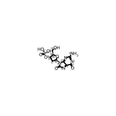 NC1=NC(=O)C2=NC(=O)N([C@H]3C[C@H](OP(=O)(O)O)[C@@H](CO)O3)C2=N1